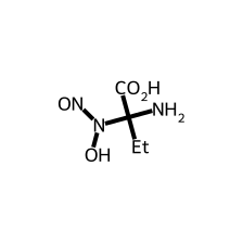 CCC(N)(C(=O)O)N(O)N=O